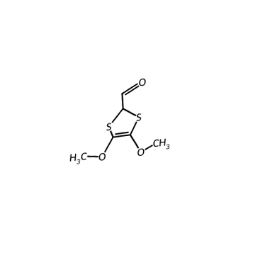 COC1=C(OC)SC(C=O)S1